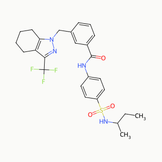 CCC(C)NS(=O)(=O)c1ccc(NC(=O)c2cccc(Cn3nc(C(F)(F)F)c4c3CCCC4)c2)cc1